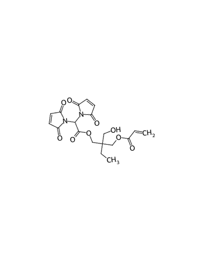 C=CC(=O)OCC(CC)(CO)COC(=O)C(N1C(=O)C=CC1=O)N1C(=O)C=CC1=O